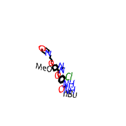 CCCCNC(=O)Nc1ccc(Oc2ncnc3cc(OCCCN4CCOCC4)c(OC)cc23)cc1Cl